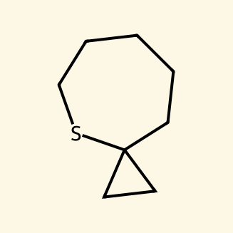 C1CCSC2(CC1)CC2